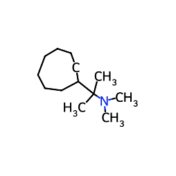 CN(C)C(C)(C)C1CCCCCCC1